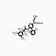 CCCCCN(CCO)c1cc(-c2ccccc2Cl)c(N(C)C(=O)C(C)(C)c2cc(C(F)(F)F)cc(C(F)(F)F)c2)cn1